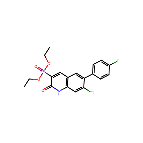 CCOP(=O)(OCC)c1cc2cc(-c3ccc(F)cc3)c(Cl)cc2[nH]c1=O